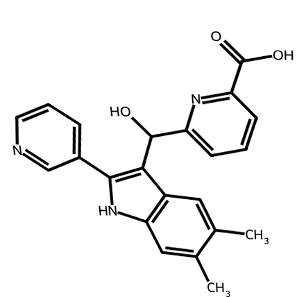 Cc1cc2[nH]c(-c3cccnc3)c(C(O)c3cccc(C(=O)O)n3)c2cc1C